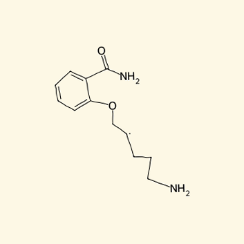 NCCC[CH]COc1ccccc1C(N)=O